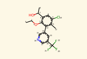 CCOc1c(C(C)O)cc(Cl)c(C)c1-c1cncc(C(F)(F)F)c1